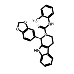 FC(F)(F)c1ccccc1NC(=S)N1CCc2c([nH]c3ccccc23)[C@H]1c1ccc2c(c1)OCO2